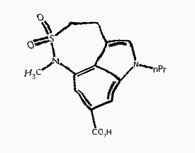 CCCn1cc2c3c(cc(C(=O)O)cc31)N(C)S(=O)(=O)CC2